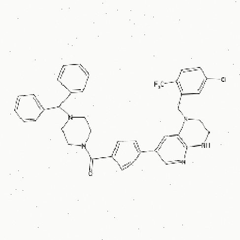 O=C(c1ccc(-c2cnc3c(c2)N(Cc2cc(Cl)ccc2C(F)(F)F)CCN3)cc1)N1CCN(C(c2ccccc2)c2ccccc2)CC1